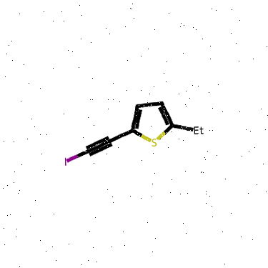 CCc1ccc(C#CI)s1